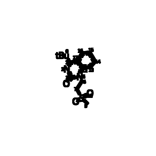 CC(C)(C)c1nc(=O)n(CCS(C)(=O)=O)c2ccccc12